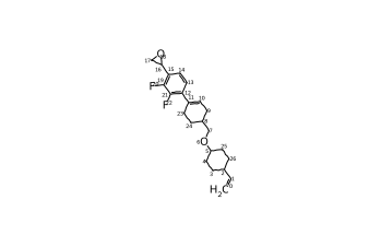 C=CC1CCC(OCC2CC=C(c3ccc(C4CO4)c(F)c3F)CC2)CC1